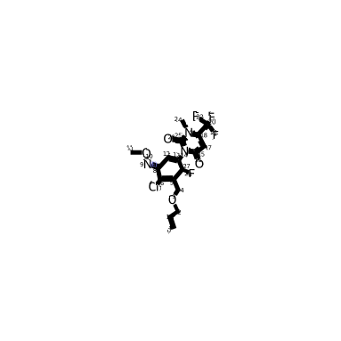 C=CCOCC1=C(Cl)/C(=N/OC)C=C(n2c(=O)cc(C(F)(F)F)n(C)c2=O)C1F